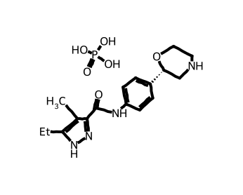 CCc1[nH]nc(C(=O)Nc2ccc([C@H]3CNCCO3)cc2)c1C.O=P(O)(O)O